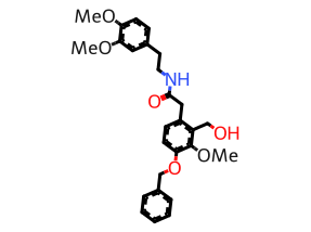 COc1ccc(CCNC(=O)Cc2ccc(OCc3ccccc3)c(OC)c2CO)cc1OC